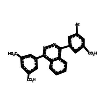 CC(=O)c1cc(C(=O)O)cc(-c2nnc(-c3cc(C(=O)O)cc(C(=O)O)c3)c3ccccc23)c1